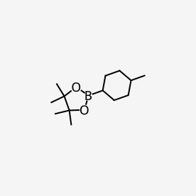 CC1CCC(B2OC(C)(C)C(C)(C)O2)CC1